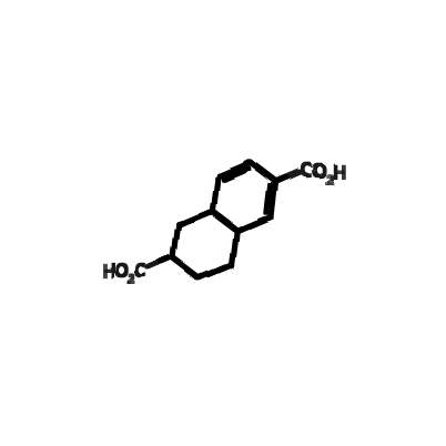 O=C(O)C1=CC2CCC(C(=O)O)CC2C=C1